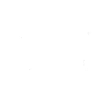 CCCC(C)c1cc(C)c(F)c(F)c1